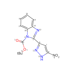 CC(C)(C)OC(=O)n1c(-c2cc([N+](=O)[O-])[nH]n2)nc2ccccc21